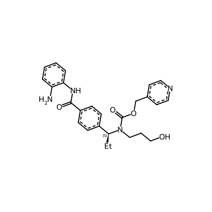 CC[C@@H](c1ccc(C(=O)Nc2ccccc2N)cc1)N(CCCO)C(=O)OCc1ccncc1